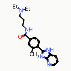 CCN(CC)CCCNC(=O)c1ccc(-c2nc3ncccc3[nH]2)c(C)c1